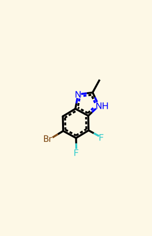 Cc1nc2cc(Br)c(F)c(F)c2[nH]1